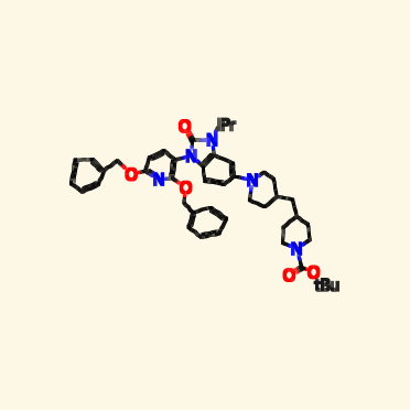 CC(C)n1c(=O)n(-c2ccc(OCc3ccccc3)nc2OCc2ccccc2)c2ccc(N3CCC(CC4CCN(C(=O)OC(C)(C)C)CC4)CC3)cc21